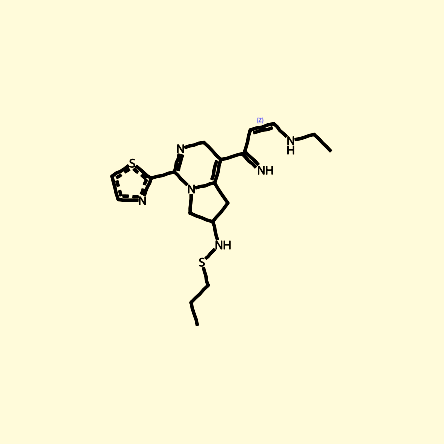 CCCSNC1CC2=C(C(=N)/C=C\NCC)CN=C(c3nccs3)N2C1